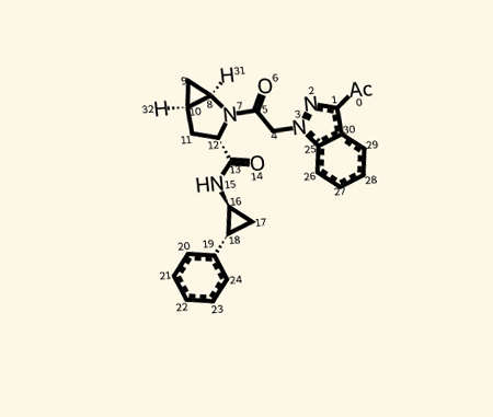 CC(=O)c1nn(CC(=O)N2[C@@H]3C[C@@H]3C[C@H]2C(=O)N[C@H]2C[C@@H]2c2ccccc2)c2ccccc12